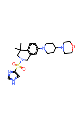 CC1(C)CN(S(=O)(=O)c2c[nH]cn2)Cc2cc(N3CCC(N4CCOCC4)CC3)ccc21